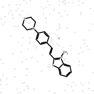 C[n+]1c(C=Cc2ccc(N3CCSCC3)cc2)sc2ccccc21.[I-]